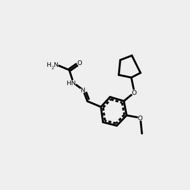 COc1ccc(C=NNC(N)=O)cc1OC1CCCC1